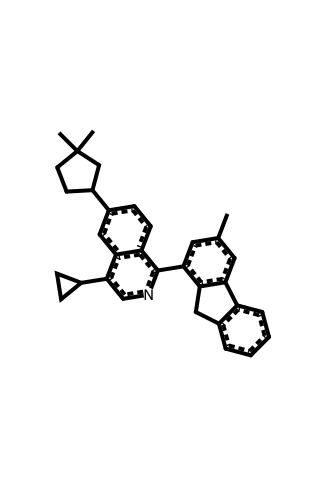 Cc1cc2c(c(-c3ncc(C4CC4)c4cc(C5CCC(C)(C)C5)ccc34)c1)Cc1ccccc1-2